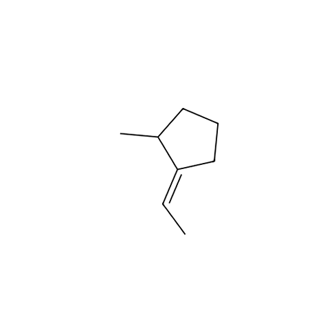 CC=C1CCCC1C